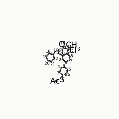 CC(=O)Sc1ccc(-c2ccc(C(C)(Cl)C(=O)OCc3ccccc3)cc2)cc1